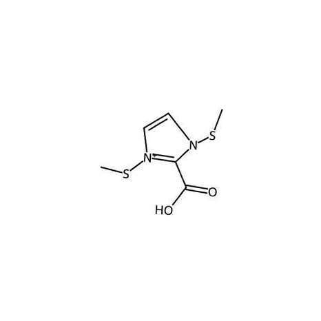 CSn1cc[n+](SC)c1C(=O)O